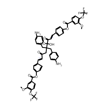 COc1cc(C(=O)Oc2ccc(/C=C/C(=O)CC(Cc3ccc(N)cc3)(Cc3ccc(N)cc3)C(O)(O)C(=O)/C=C/c3ccc(OC(=O)c4ccc(OC(F)(F)F)c(OC)c4)cc3)cc2)ccc1OC(F)(F)F